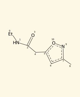 CCNC(=O)Cc1cc(C)no1